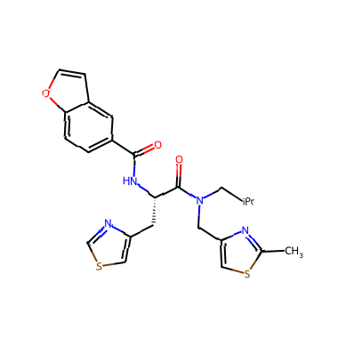 Cc1nc(CN(CC(C)C)C(=O)[C@H](Cc2cscn2)NC(=O)c2ccc3occc3c2)cs1